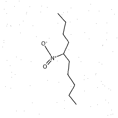 CCCCCC(CCCC)[N+](=O)[O-]